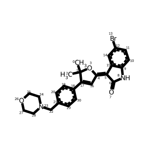 CC1(C)O/C(=C2/C(=O)Nc3ccc(Br)cc32)C=C1c1ccc(CN2CCOCC2)cc1